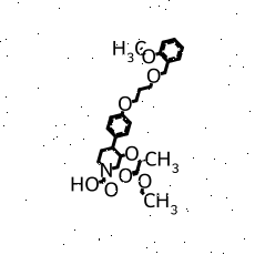 CCOC(=O)[C@@H](C)OC1CN(C(=O)O)CCC1c1ccc(OCCCOCc2ccccc2OC)cc1